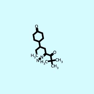 CCC(CC(=[N+]=[N-])C(=O)C(C)(C)C)C1CCC(=O)CC1